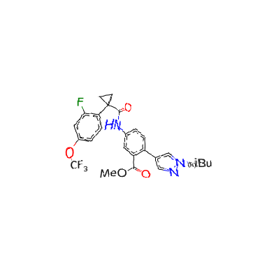 CC[C@@H](C)n1cc(-c2ccc(NC(=O)C3(c4ccc(OC(F)(F)F)cc4F)CC3)cc2C(=O)OC)cn1